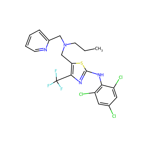 CCCN(Cc1ccccn1)Cc1sc(Nc2c(Cl)cc(Cl)cc2Cl)nc1C(F)(F)F